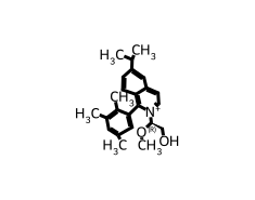 CO[C@H](CO)[n+]1ccc2cc(C(C)C)ccc2c1-c1cc(C)cc(C)c1C